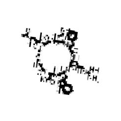 CC(=O)NCC(=O)NC1CCCCNC(=O)CC(C(=O)O)NC(=O)[C@H](Cc2c[nH]c3ccccc23)NC(=O)[C@H](CCCNC(=N)N)NC(=O)C(Cc2ccccc2)NC(=O)[C@H](CCN)NC1=O